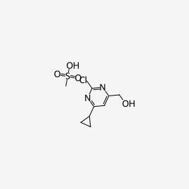 CS(=O)(=O)O.OCc1cc(C2CC2)nc(Cl)n1